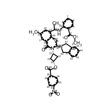 COC(=O)c1ccccc1NC(C)c1cc(C)cc2c(=O)n([C@H]3C[C@@H](OC(=O)c4ccc([N+](=O)[O-])cc4)C3)c(N3Cc4ccccc4C3)nc12